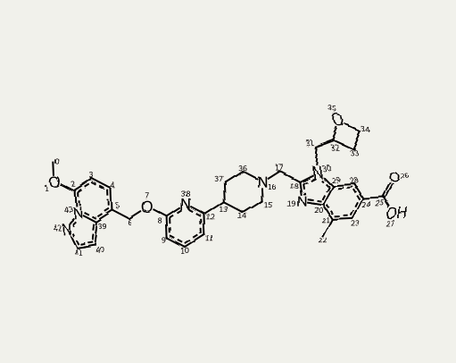 COc1ccc(COc2cccc(C3CCN(Cc4nc5c(C)cc(C(=O)O)cc5n4CC4CCO4)CC3)n2)c2ccnn12